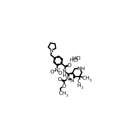 CCOC(=O)n1nc2c(c1NC(=O)c1ccc(CN3CCCC3)cc1[N+](=O)[O-])CNCC2(C)C.Cl.Cl